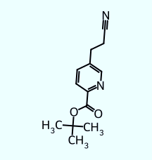 CC(C)(C)OC(=O)c1ccc(CCC#N)cn1